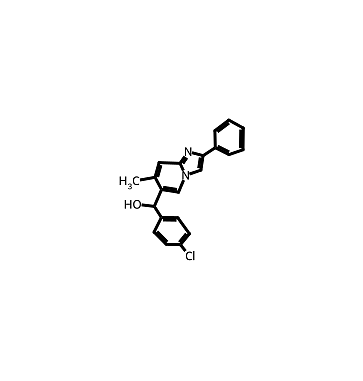 Cc1cc2nc(-c3ccccc3)cn2cc1C(O)c1ccc(Cl)cc1